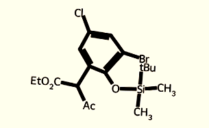 CCOC(=O)C(C(C)=O)c1cc(Cl)cc(Br)c1O[Si](C)(C)C(C)(C)C